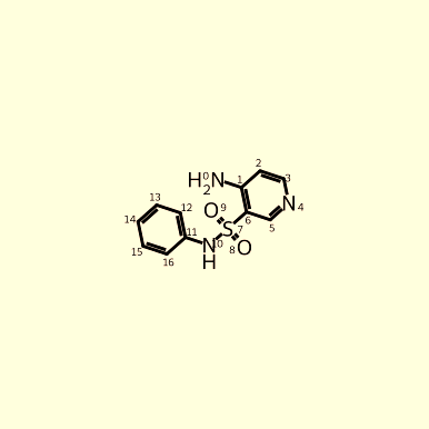 Nc1ccncc1S(=O)(=O)Nc1ccccc1